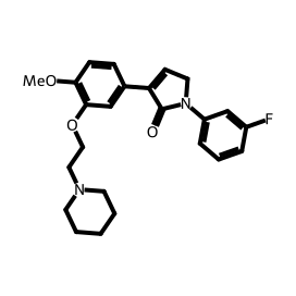 COc1ccc(C2=CCN(c3cccc(F)c3)C2=O)cc1OCCN1CCCCC1